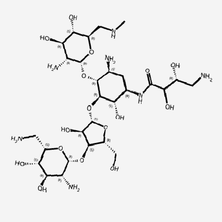 CNC[C@H]1O[C@H](O[C@H]2[C@H](O[C@@H]3O[C@H](CO)[C@@H](O[C@H]4O[C@@H](CN)[C@@H](O)[C@H](O)[C@H]4N)[C@H]3O)[C@@H](O)[C@H](NC(=O)C(O)[C@H](O)CN)C[C@@H]2N)[C@H](N)[C@@H](O)[C@@H]1O